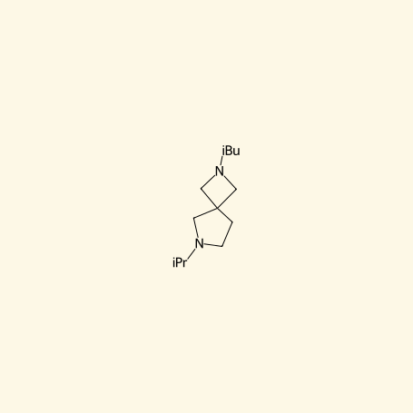 CCC(C)N1CC2(CCN(C(C)C)C2)C1